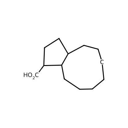 O=C(O)C1CCC2CCCCCCCC21